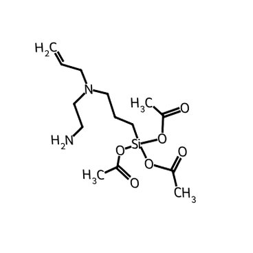 C=CCN(CCN)CCC[Si](OC(C)=O)(OC(C)=O)OC(C)=O